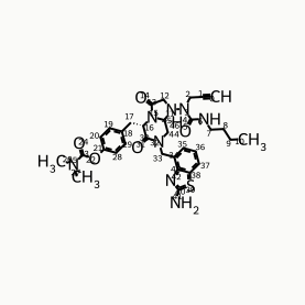 C#CCN(C(=O)NCCCC)N1CC(=O)N2[C@@H](Cc3ccc(OC(=O)N(C)C)cc3)C(=O)N(Cc3cccc4sc(N)nc34)C[C@@H]21